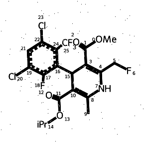 COC(=O)C1=C(CF)NC(C)=C(C(=O)OC(C)C)C1c1c(F)c(Cl)cc(Cl)c1C(F)(F)F